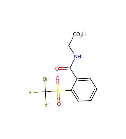 O=C(O)CNC(=O)c1ccccc1S(=O)(=O)C(Br)(Br)Br